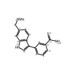 CNCc1ccc2c(-c3cccc(C(N)=S)c3)c[nH]c2c1